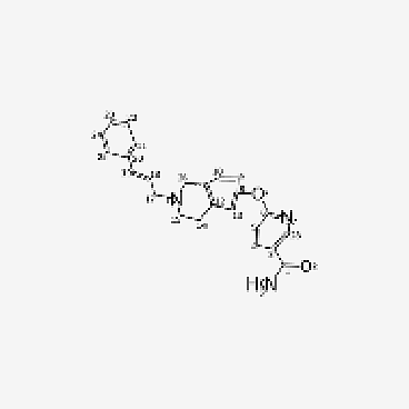 NC(=O)c1ccc(Oc2ccc3c(c2)CCN(CC=Cc2ccccc2)C3)nc1